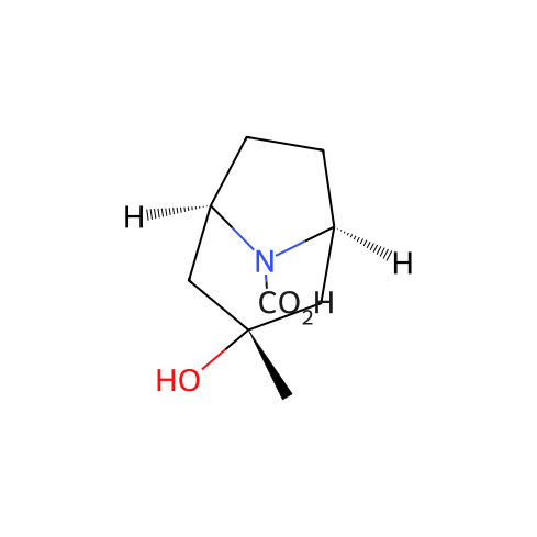 C[C@@]1(O)C[C@H]2CC[C@@H](C1)N2C(=O)O